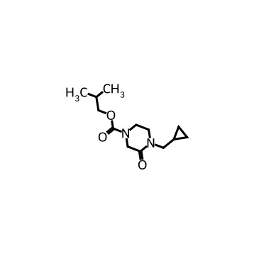 CC(C)COC(=O)N1CCN(CC2CC2)C(=O)C1